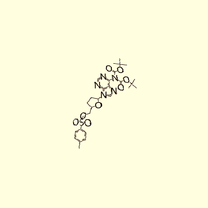 Cc1ccc(S(=O)(=O)OCC2CCC(n3cnc4c(N(C(=O)OC(C)(C)C)C(=O)OC(C)(C)C)ncnc43)O2)cc1